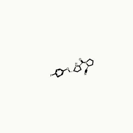 N#C[C@@H]1CCCN1C(=O)[C@H]1CC[C@H](COc2ccc(F)cc2)N1